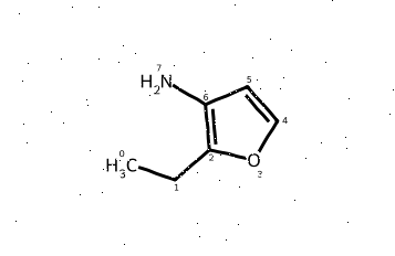 CCc1occc1N